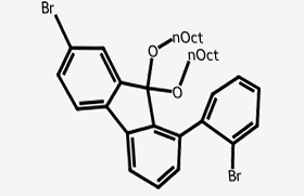 CCCCCCCCOC1(OCCCCCCCC)c2cc(Br)ccc2-c2cccc(-c3ccccc3Br)c21